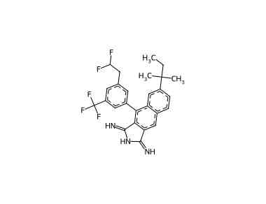 CCC(C)(C)c1ccc2cc3c(c(-c4cc(CC(F)F)cc(C(F)(F)F)c4)c2c1)C(=N)NC3=N